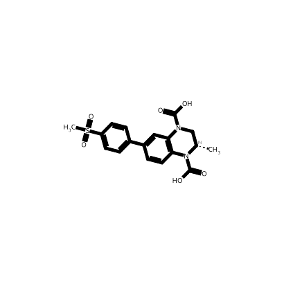 C[C@H]1CN(C(=O)O)c2cc(-c3ccc(S(C)(=O)=O)cc3)ccc2N1C(=O)O